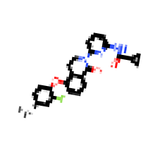 O=C(Nc1cccc(N2CCc3c(Oc4ccc(C(F)(F)F)cc4F)cccc3C2=O)n1)C1CC1